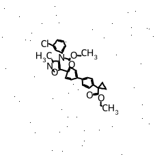 CCOC(=O)N(c1cccc(Cl)c1)c1c(C)noc1-c1ccc(-c2ccc(C3(C(=O)OCC)CC3)cc2)cc1